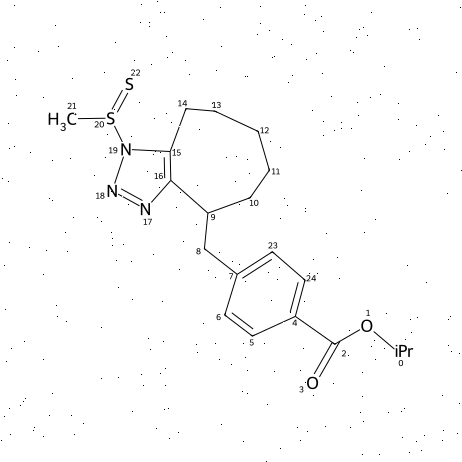 CC(C)OC(=O)c1ccc(CC2CCCCCc3c2nnn3S(C)=S)cc1